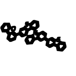 C1=CC(c2ccc3c(c2)sc2ccccc23)Cc2c1n(-c1cccc3sc4cc(-c5cccc6c5oc5ccccc56)ccc4c13)c1ccccc21